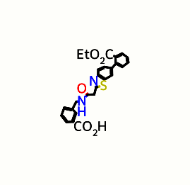 CCOC(=O)c1ccccc1-c1ccc2nc(CC(=O)NCc3cccc(C(=O)O)c3)sc2c1